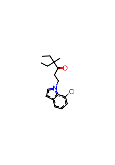 CCC(C)(CC)C(=O)CCn1ccc2cccc(Cl)c21